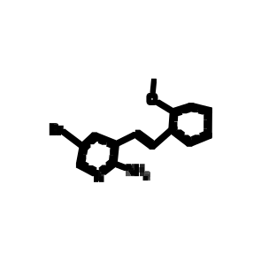 COc1ccccc1/C=C/c1cc(Br)cnc1N